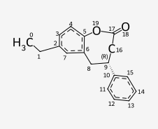 CCc1ccc2c(c1)C[C@@H](c1ccccc1)CC(=O)O2